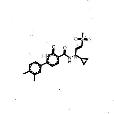 Cc1ccc(-c2ccc(C(=O)N[C@H](/C=C/S(C)(=O)=O)C3CC3)c(=O)[nH]2)cc1C